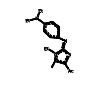 CCN(CC)c1ccc(N=c2sc(C(C)=O)c(C)n2CC)cc1